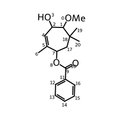 COC1C(O)C=C(C)C(OC(=O)c2ccccc2)CC1(C)C